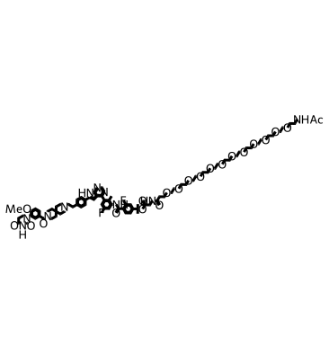 COc1ccc(C(=O)N2CCC3(CCN(CCc4ccc(-c5cc6c(-c7cc(F)cc(NC(=O)c8ccc(C(C)(C)OC(=O)CNC(=O)CCOCCOCCOCCOCCOCCOCCOCCOCCOCCOCCOCCOCCNC(C)=O)cc8F)c7C)ncnc6[nH]5)cc4)CC3)CC2)cc1N1CCC(=O)NC1=O